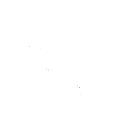 CCn1c2ccccc2c2cc(NC(=O)C3CC(=O)N(c4ccc(C)cc4)C3)ccc21